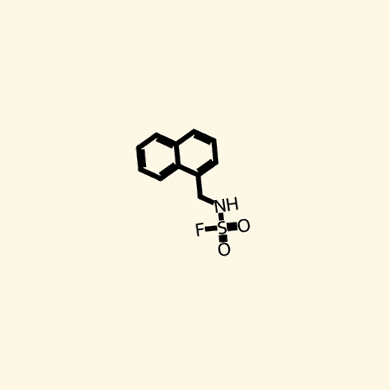 O=S(=O)(F)NCc1cccc2ccccc12